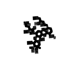 CN[C@@H]1[C@@H](O)[C@@H](O[C@@H]2[C@H](O)[C@H](O[C@H]3O[C@H](CNCC(O)CO)CC[C@H]3N)[C@@H](N)C[C@H]2NC(=O)[C@@H](O)CCN)OC[C@]1(C)O